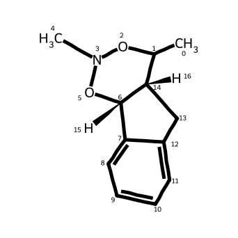 CC1ON(C)O[C@H]2c3ccccc3C[C@@H]12